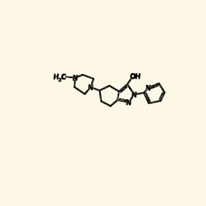 CN1CCN(C2CCc3nn(-c4ccccn4)c(O)c3C2)CC1